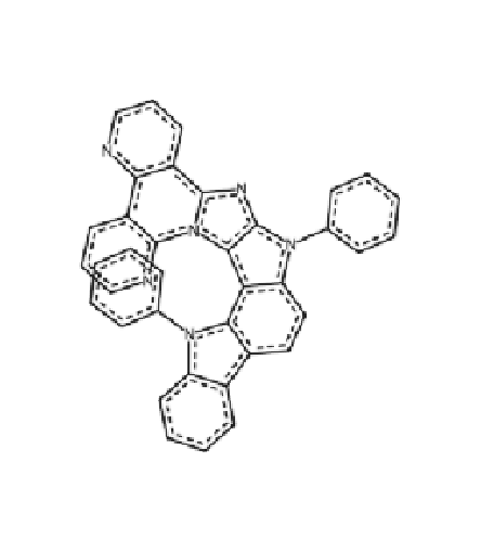 c1ccc(-n2c3ccc4c5ccccc5n(-c5ccccc5)c4c3c3c2nc2c4cccnc4c4cccnc4n23)cc1